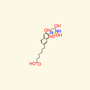 O=C(O)CCCCCCc1ccc2cc(O)c(N3CC(O)NS3(O)O)cc2c1